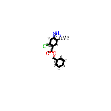 COc1cc(C(=O)OCc2ccccc2)c(Cl)cc1N